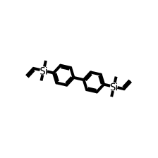 C=C[Si](C)(C)c1ccc(-c2ccc([Si](C)(C)C=C)cc2)cc1